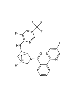 O=C(c1ccccc1-c1ncc(F)cn1)N1C[C@H]2CC(Nc3ncc(C(F)(F)F)cc3F)C1C2